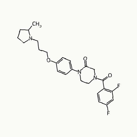 CC1CCCN1CCCOc1ccc(N2CCN(C(=O)c3ccc(F)cc3F)CC2=O)cc1